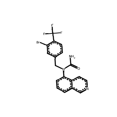 NC(=O)N(Cc1ccc(C(F)(F)F)c(Br)c1)c1cccc2cnccc12